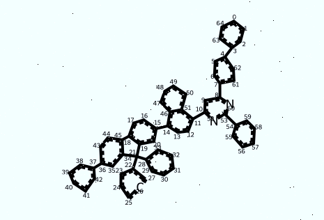 c1ccc(-c2ccc(-c3cc(-c4ccc(-c5ccc6c(c5)C(c5ccccc5)(c5ccccc5)c5cc(-c7ccccc7)ccc5-6)c5ccccc45)nc(-c4ccccc4)n3)cc2)cc1